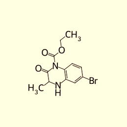 CCOC(=O)N1C(=O)C(C)Nc2cc(Br)ccc21